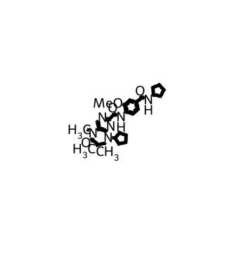 COc1cc(C(=O)NC2CCCC2)ccc1NC(=O)c1ncc2c(n1)N(C1CCCC1)CC(C)(C)C(=O)N2C